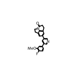 COc1cc(-c2cncc(-c3cc4c5c(c3)CCN5C(=O)CC4)c2)ccc1F